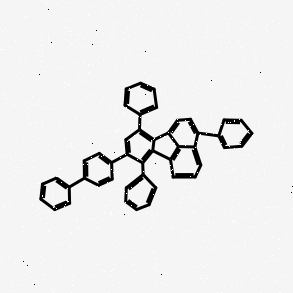 c1ccc(-c2ccc(-c3cc(-c4ccccc4)c4c(c3-c3ccccc3)-c3cccc5c(-c6ccccc6)ccc-4c35)cc2)cc1